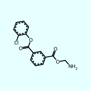 NCOC(=O)c1cccc(C(=O)Oc2ccccc2Cl)c1